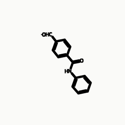 O=[C]c1ccc(C(=O)Nc2ccccc2)cc1